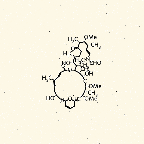 CO[C@H]([C@H](C)/C=C/N(C)C=O)[C@@H](C)C(=O)CC[C@H](C)[C@H](O)[C@H](C)[C@H]1OC(=O)/C=C/C(C)=C/C[C@H](O)C[C@@H]2C=CC[C@@H](C[C@H](OC)[C@@H](C)[C@@H](OC)C[C@@H](O)[C@@H]1C)O2